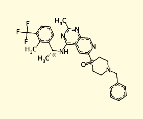 Cc1nc(N[C@H](C)c2cccc(C(F)(F)F)c2C)c2cc(P3(=O)CCN(Cc4ccccc4)CC3)ncc2n1